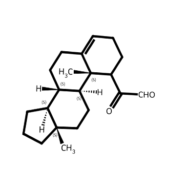 C[C@@]12CCC[C@H]1[C@@H]1CCC3=CCCC(C(=O)C=O)[C@]3(C)[C@H]1CC2